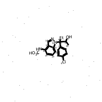 CCC(c1ccc(Cl)cc1)(C(C)O)n1ncc2c(NC(=O)O)cccc21